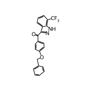 O=C(c1ccc(OCc2ccccc2)cc1)c1n[nH]c2c(C(F)(F)F)cccc12